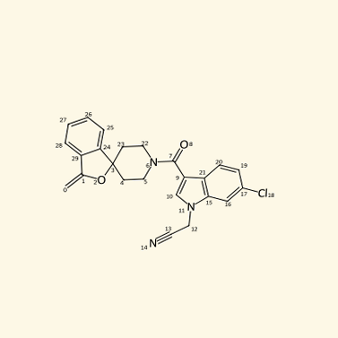 C=C1OC2(CCN(C(=O)c3cn(CC#N)c4cc(Cl)ccc34)CC2)c2ccccc21